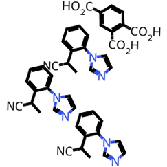 CC(C#N)c1ccccc1-n1ccnc1.CC(C#N)c1ccccc1-n1ccnc1.CC(C#N)c1ccccc1-n1ccnc1.O=C(O)c1ccc(C(=O)O)c(C(=O)O)c1